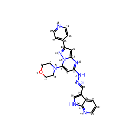 C(=N\Nc1cc(N2CCOCC2)n2nc(-c3ccncc3)cc2n1)/c1c[nH]c2ncccc12